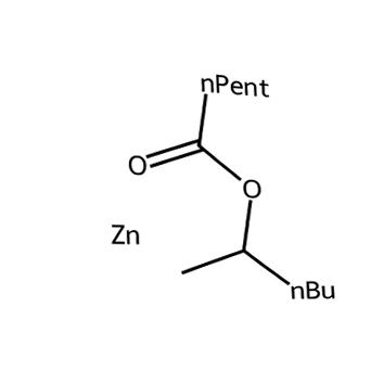 CCCCCC(=O)OC(C)CCCC.[Zn]